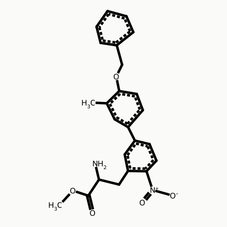 COC(=O)C(N)Cc1cc(-c2ccc(OCc3ccccc3)c(C)c2)ccc1[N+](=O)[O-]